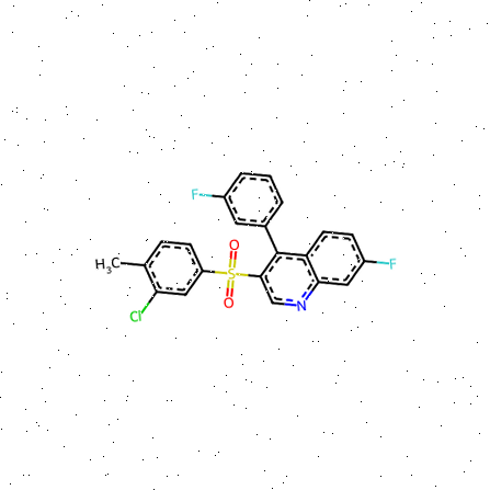 Cc1ccc(S(=O)(=O)c2cnc3cc(F)ccc3c2-c2cccc(F)c2)cc1Cl